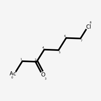 CC(=O)CC(=O)CCCCCl